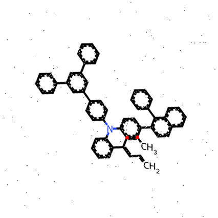 C=C/C=C(\C=C/C)c1ccccc1N(c1ccc(-c2cc(-c3ccccc3)cc(-c3ccccc3)c2)cc1)c1ccc(-c2ccc3ccccc3c2-c2ccccc2)cc1